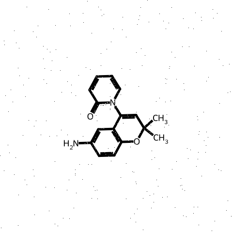 CC1(C)C=C(n2ccccc2=O)c2cc(N)ccc2O1